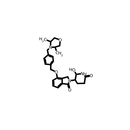 CC1COCC(C)N1Cc1ccc(COc2cccc3c2CN(C2CCC(=O)NC2O)C3=O)cc1